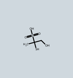 CC(S)(CO)S(=O)(=O)O